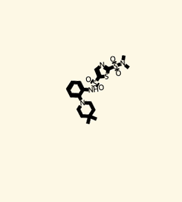 CN(C)S(=O)(=O)c1ncc(S(=O)(=O)Nc2ccccc2N2CCC(C)(C)CC2)s1